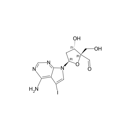 Nc1ncnc2c1c(I)cn2[C@H]1C[C@H](O)[C@@](C=O)(CO)O1